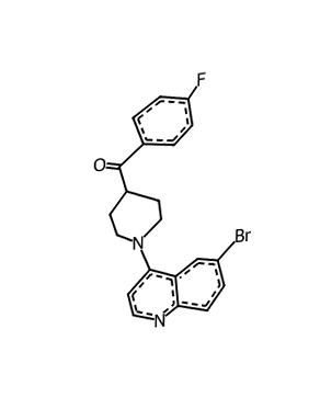 O=C(c1ccc(F)cc1)C1CCN(c2ccnc3ccc(Br)cc23)CC1